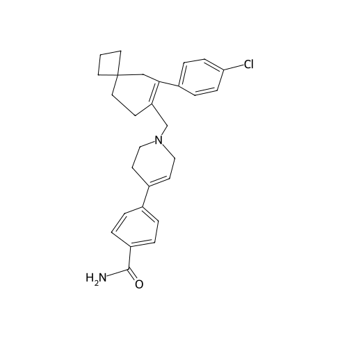 NC(=O)c1ccc(C2=CCN(CC3=C(c4ccc(Cl)cc4)CC4(CCC4)CC3)CC2)cc1